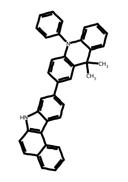 CC1(C)c2ccccc2N(c2ccccc2)c2ccc(-c3ccc4c(c3)[nH]c3ccc5ccccc5c34)cc21